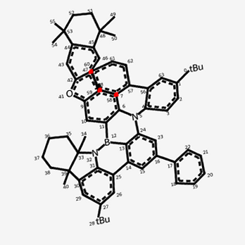 CC(C)(C)c1ccc(N2c3cc4c(cc3B3c5c(cc(-c6ccccc6)cc52)-c2cc(C(C)(C)C)cc5c2N3C2(C)CCCCC52C)oc2cc3c(cc24)C(C)(C)CCC3(C)C)c(-c2ccccc2)c1